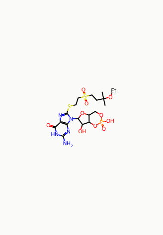 CCOC(C)(C)CCS(=O)(=O)CCSc1nc2c(=O)[nH]c(N)nc2n1C1OC2COP(=O)(O)OC2C1O